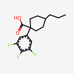 CCCC1CCC(C(=O)O)(c2cc(F)c(F)c(F)c2)CC1